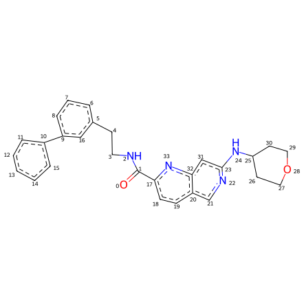 O=C(NCCc1cccc(-c2ccccc2)c1)c1ccc2cnc(NC3CCOCC3)cc2n1